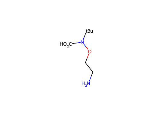 CC(C)(C)N(OCCN)C(=O)O